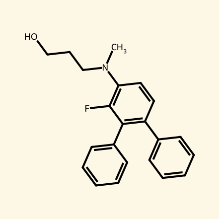 CN(CCCO)c1ccc(-c2ccccc2)c(-c2ccccc2)c1F